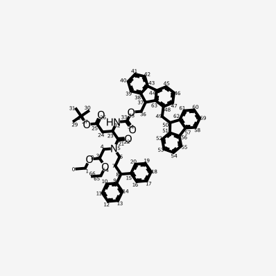 CCOC(CN(CCC(c1ccccc1)c1ccccc1)C(=O)C(CC(=O)OC(C)(C)C)NC(=O)OCC1c2ccccc2-c2cccc(CC3c4ccccc4-c4ccccc43)c21)OCC